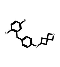 Clc1ccc(Br)cc1Cc1ccc(OC2CC3(COC3)C2)cc1